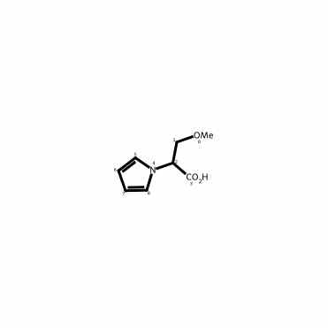 COCC(C(=O)O)n1cccc1